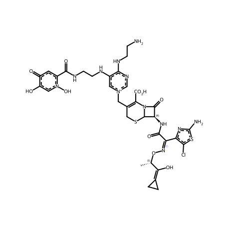 C[C@H](O/N=C(\C(=O)N[C@@H]1C(=O)N2C(C(=O)O)=C(C[n+]3cnc(NCCN)c(NCCNC(=O)c4cc(=O)c(O)cn4O)c3)CSC12)c1nc(N)sc1Cl)C(O)=C1CC1